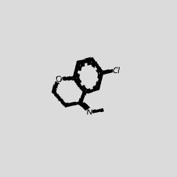 C/N=C1/CCOc2ccc(Cl)cc21